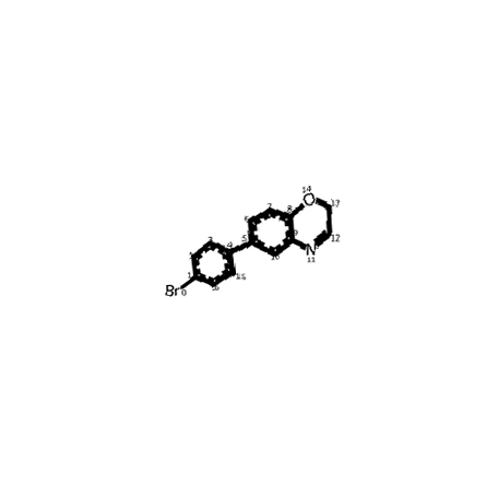 Brc1ccc(-c2ccc3c(c2)N=CCO3)cc1